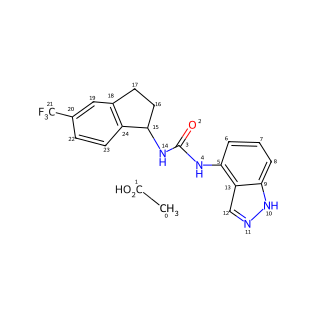 CC(=O)O.O=C(Nc1cccc2[nH]ncc12)NC1CCc2cc(C(F)(F)F)ccc21